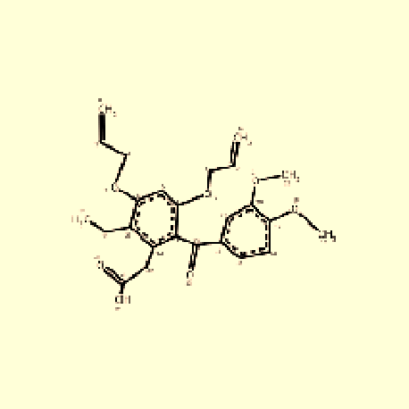 C=CCOc1cc(OCC=C)c(C(=O)c2ccc(OC)c(OC)c2)c(CC(=O)O)c1CC